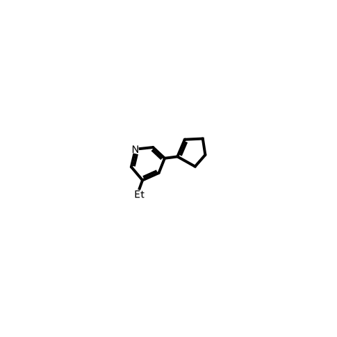 CCc1cncc(C2=CCCC2)c1